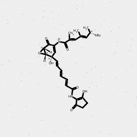 CCCC[C@@H](C)/C=C(C)/C=C(\C)C(=O)NC1=C[C@@](O)(/C=C/C=C/C=C/C(=O)NC2=C(O)CCC2=O)[C@@H]2O[C@@H]2C1=O